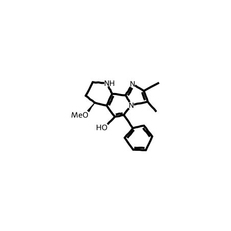 CO[C@H]1CCNc2c1c(O)c(-c1ccccc1)n1c(C)c(C)nc21